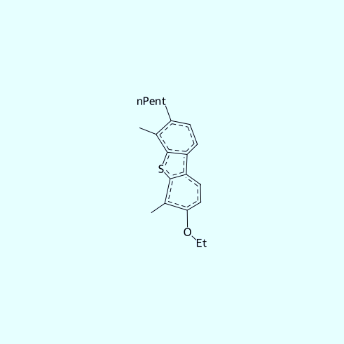 CCCCCc1ccc2c(sc3c(C)c(OCC)ccc32)c1C